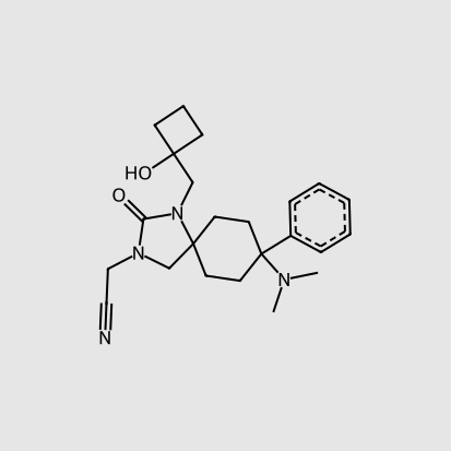 CN(C)C1(c2ccccc2)CCC2(CC1)CN(CC#N)C(=O)N2CC1(O)CCC1